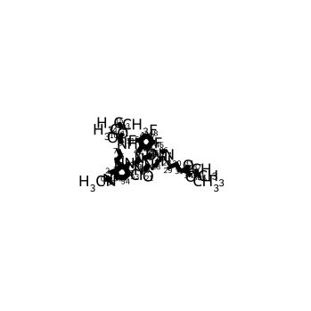 Cn1cc2c(CCCNC(=O)OC(C)(C)C)c(Nc3nc(=O)n(Cc4ncnn4CCCC(=O)OC(C)(C)C)c(=O)n3Cc3cc(F)c(F)cc3F)c(Cl)cc2n1